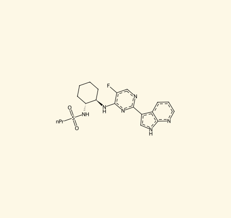 CCCS(=O)(=O)N[C@@H]1CCCC[C@H]1Nc1nc(-c2c[nH]c3ncccc23)ncc1F